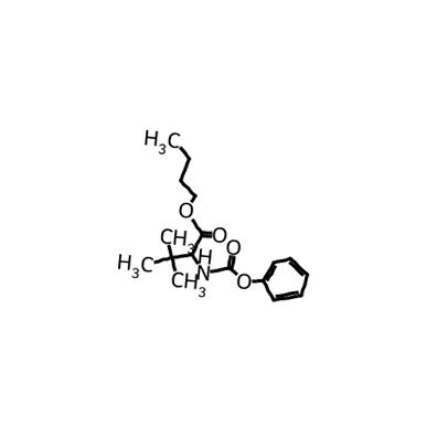 CCCCOC(=O)C(NC(=O)Oc1ccccc1)C(C)(C)C